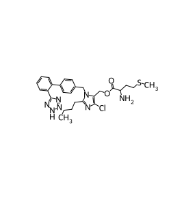 CCCCc1nc(Cl)c(COC(=O)C(N)CCSC)n1Cc1ccc(-c2ccccc2-c2nn[nH]n2)cc1